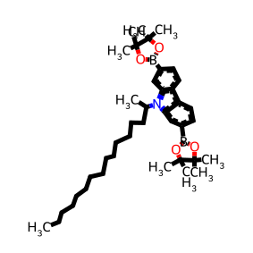 CCCCCCCCCCCCCCC(C)n1c2cc(B3OC(C)(C)C(C)(C)O3)ccc2c2ccc(B3OC(C)(C)C(C)(C)O3)cc21